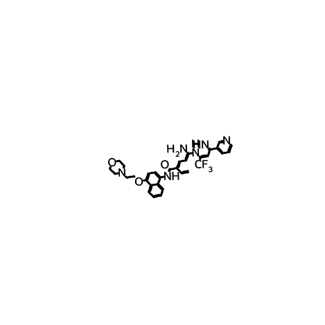 C=C/C(=C\C=C(/N)N/C(=C\C(=N)c1cccnc1)C(F)(F)F)C(=O)Nc1ccc(OCCN2CCOCC2)c2ccccc12